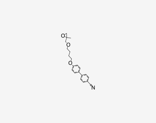 CC1(COCCCCOc2ccc(-c3ccc(C#N)cc3)cc2)CO1